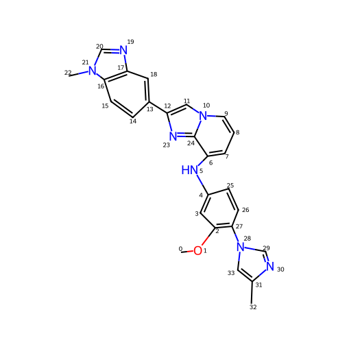 COc1cc(Nc2cccn3cc(-c4ccc5c(c4)ncn5C)nc23)ccc1-n1cnc(C)c1